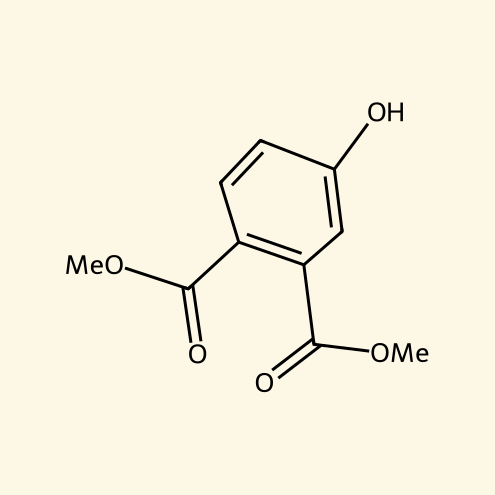 COC(=O)c1ccc(O)cc1C(=O)OC